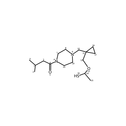 CC(C)CC(=O)N1CCN(CC2(COC(C)S)CC2)CC1